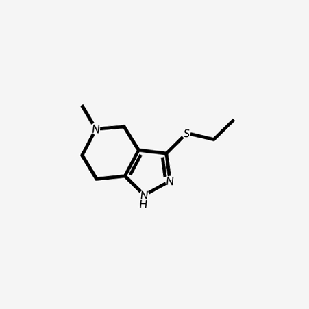 CCSc1n[nH]c2c1CN(C)CC2